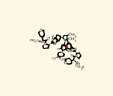 CC1C[C@H](c2ccc3[nH]c([C@@H]4CCCN4C(=O)[C@@H](NC(=O)O)C4CCOCC4)nc3c2)N(c2cc(F)c(N3CCC(C)(C)CC3)c(F)c2)[C@@]1(C)c1ccc2[nH]c([C@@H]3CCCN3C(=O)[C@@H](NC(=O)O)C3CCOCC3)nc2c1